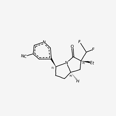 CC[C@@]1(C(F)F)C[C@H]2CC[C@@H](c3cncc(C#N)c3)N2C1=O